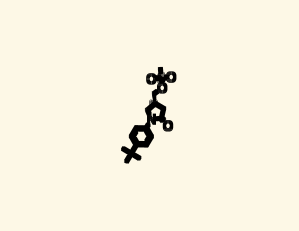 CC(C)(C)c1ccc(N2C[C@@H](COS(C)(=O)=O)CC2=O)cc1